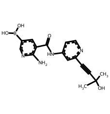 CC(C)(O)C#Cc1cc(NC(=O)c2cc(B(O)O)cnc2N)ccn1